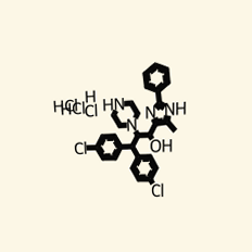 Cc1[nH]c(-c2ccccc2)nc1C(O)C(C(c1ccc(Cl)cc1)c1ccc(Cl)cc1)N1CCNCC1.Cl.Cl.Cl